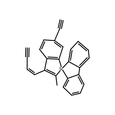 C#C/C=C\C1=C(C)[Si]2(c3cc(C#C)ccc31)c1ccccc1-c1ccccc12